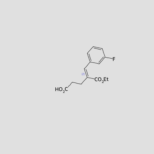 CCOC(=O)/C(=C\c1cccc(F)c1)CCC(=O)O